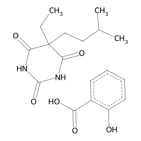 CCC1(CCC(C)C)C(=O)NC(=O)NC1=O.O=C(O)c1ccccc1O